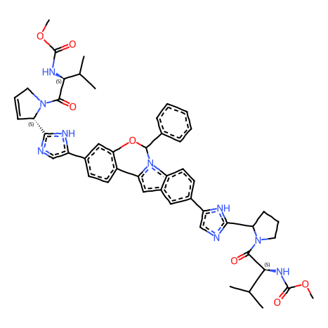 COC(=O)N[C@H](C(=O)N1CCCC1c1ncc(-c2ccc3c(c2)cc2n3C(c3ccccc3)Oc3cc(-c4cnc([C@@H]5C=CCN5C(=O)[C@@H](NC(=O)OC)C(C)C)[nH]4)ccc3-2)[nH]1)C(C)C